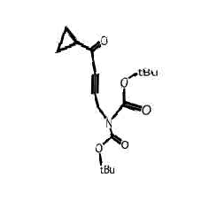 CC(C)(C)OC(=O)N(CC#CC(=O)C1CC1)C(=O)OC(C)(C)C